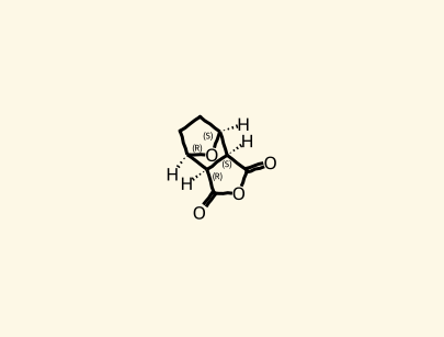 O=C1OC(=O)[C@H]2[C@@H]1[C@H]1CC[C@@H]2O1